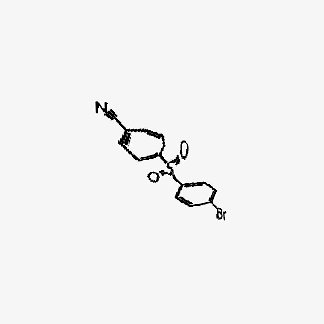 N#Cc1ccc(S(=O)(=O)c2ccc(Br)cc2)cc1